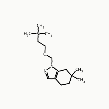 CC1(C)CCc2cnn(COCC[Si](C)(C)C)c2C1